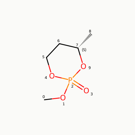 COP1(=O)OCC[C@H](C)O1